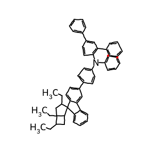 CCC1CC2C1(CC)CC(CC)C21c2ccccc2-c2cc(-c3ccc(N(c4ccccc4)c4ccc(-c5ccccc5)cc4-c4ccccc4)cc3)ccc21